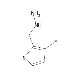 NNCc1sccc1F